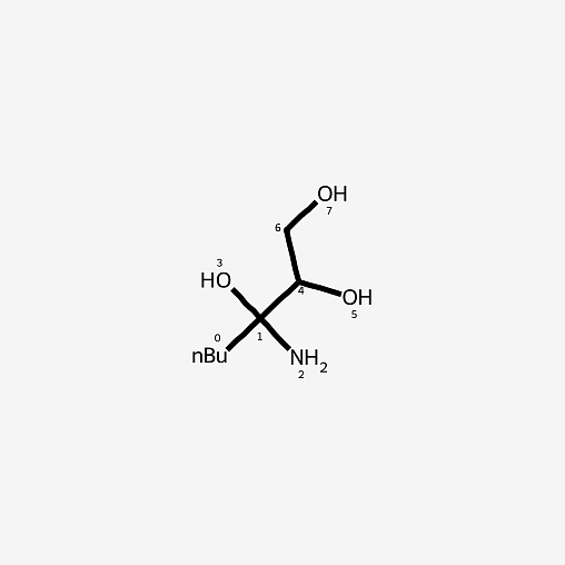 CCCCC(N)(O)C(O)CO